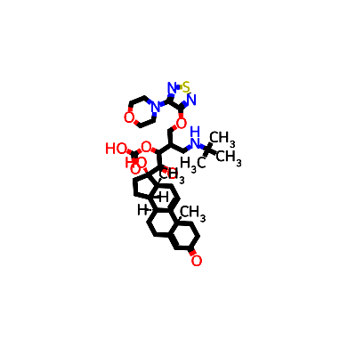 CC(C)(C)NCC(COc1nsnc1N1CCOCC1)C(OC(=O)O)C(=O)[C@@]1(O)CC[C@H]2[C@@H]3CCC4=CC(=O)CC[C@]4(C)C3=CC[C@@]21C